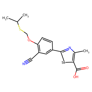 Cc1nc(-c2ccc(OCSC(C)C)c(C#N)c2)[se]c1C(=O)O